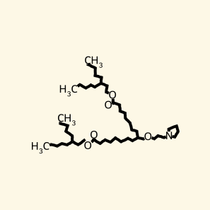 CCCCCC(CCCCC)CCOC(=O)CCCCCCCC(CCCCCCCC(=O)OCCC(CCCCC)CCCCC)COCCCN1CCCC1